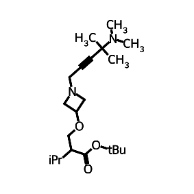 CC(C)C(COC1CN(CC#CC(C)(C)N(C)C)C1)C(=O)OC(C)(C)C